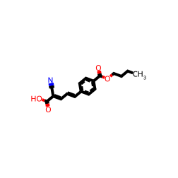 CCCCOC(=O)c1ccc(/C=C/C=C(\C#N)C(=O)O)cc1